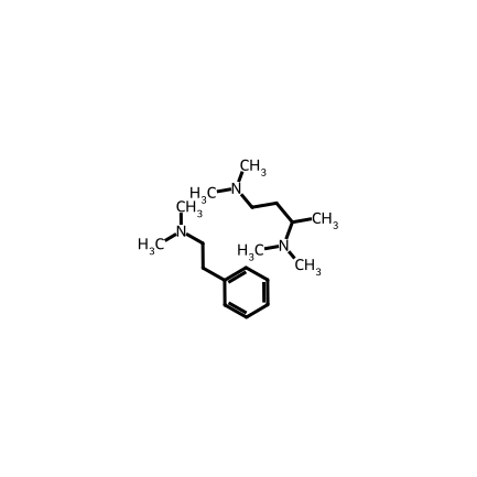 CC(CCN(C)C)N(C)C.CN(C)CCc1ccccc1